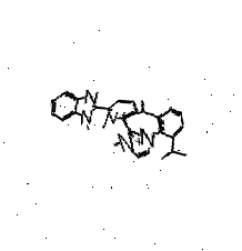 CC(C)c1cccc(C(C)C)c1-n1cc[n+](C)c1-c1cccc(-c2nc3ccccc3n2C)[n+]1C